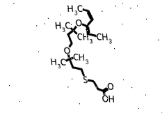 C/C=C\C(=C/C)OC(C)(C)CCOC(C)(C)CCSCCC(=O)O